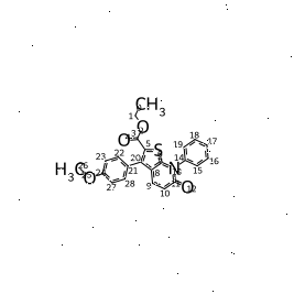 CCOC(=O)c1sc2c(ccc(=O)n2-c2ccccc2)c1-c1ccc(OC)cc1